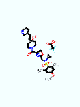 COc1cc(C)c(S(=O)(=O)N(Cc2nc(C(=O)N3CCC(O)(C=Cc4cccnc4)CC3)co2)C2CC2)c(C)c1.O=C(O)C(F)(F)F